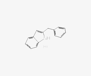 Cl.c1ccc(Cc2cc3ccccc3[nH]2)cc1